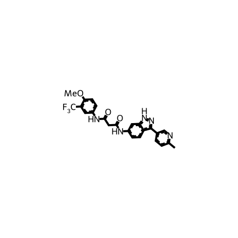 COc1ccc(NC(=O)CC(=O)Nc2ccc3c(-c4ccc(C)nc4)n[nH]c3c2)cc1C(F)(F)F